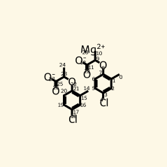 Cc1cc(Cl)ccc1OC(C)C(=O)[O-].Cc1cc(Cl)ccc1OC(C)C(=O)[O-].[Mg+2]